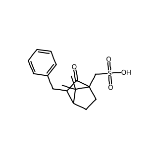 CC1(C)C2CCC1(CS(=O)(=O)O)C(=O)C2Cc1ccccc1